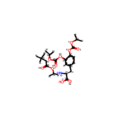 CC(C)OC(=O)Oc1ccc(C[C@H](NCC(C)OC(=O)CC(C)(C)C)C(=O)O)cc1OC(=O)OC(C)C